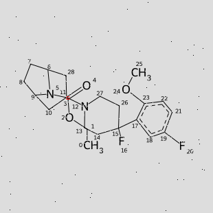 CCOC(=O)N1C2CCC1CC(N1CCC(F)(c3cc(F)ccc3OC)CC1)C2